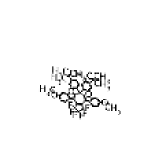 COc1ccc2c3c(oc2c1)C(c1ccc(C(C)(C)C)cc1)(c1ccc(C(C)(C)C)cc1)c1oc2cc(OC)ccc2c1C1=C3C(F)(F)C(F)(F)C1(F)F